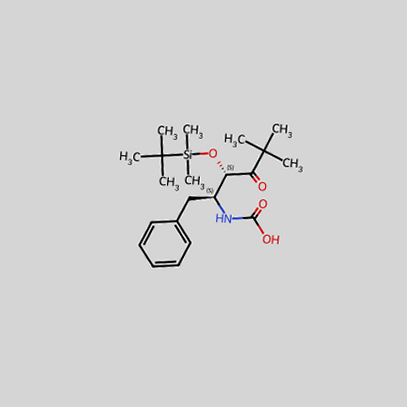 CC(C)(C)C(=O)[C@@H](O[Si](C)(C)C(C)(C)C)[C@H](Cc1ccccc1)NC(=O)O